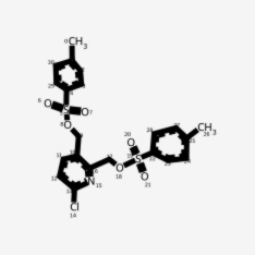 Cc1ccc(S(=O)(=O)OCc2ccc(Cl)nc2COS(=O)(=O)c2ccc(C)cc2)cc1